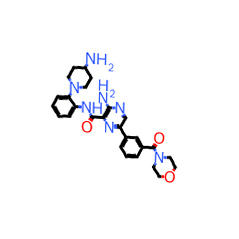 Nc1ncc(-c2cccc(C(=O)N3CCOCC3)c2)nc1C(=O)Nc1ccccc1N1CCC(N)CC1